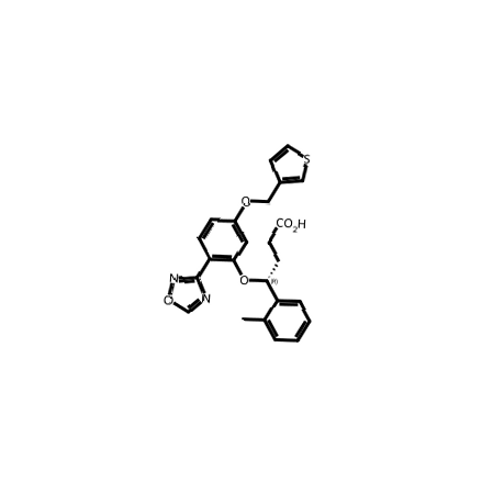 Cc1ccccc1[C@@H](CCC(=O)O)Oc1cc(OCc2ccsc2)ccc1-c1ncon1